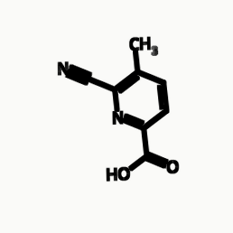 Cc1ccc(C(=O)O)nc1C#N